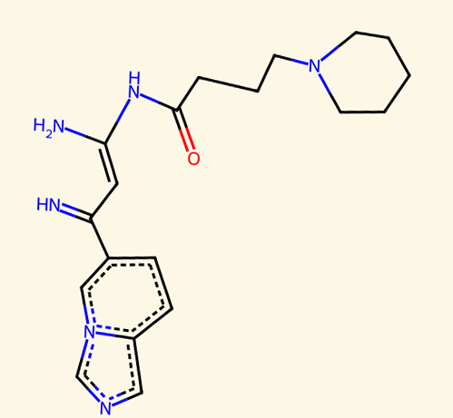 N=C(/C=C(\N)NC(=O)CCCN1CCCCC1)c1ccc2cncn2c1